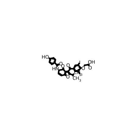 CC(C)c1oc2c(c1C(=O)c1cc(I)c(OCC(=O)O)c(I)c1)C(=O)C(NC(=O)c1ccc(O)cc1)C=C2